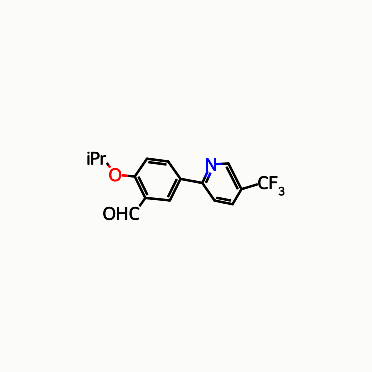 CC(C)Oc1ccc(-c2ccc(C(F)(F)F)cn2)cc1C=O